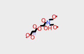 COCCN(CCOC)C(=O)[C@H](O)COC(=O)/C=C/C(=O)OC